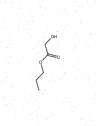 [CH2]CCOC(=O)CO